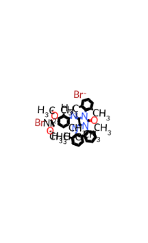 COCCOC.Cc1cccc(C)c1N=C1C(=Nc2c(C)cccc2C)N(c2c(C)cccc2C)C(=O)N1c1c(C)cccc1C.[Br-].[Br-].[Ni+2]